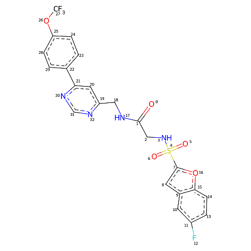 O=C(CNS(=O)(=O)c1cc2cc(F)ccc2o1)NCc1cc(-c2ccc(OC(F)(F)F)cc2)ncn1